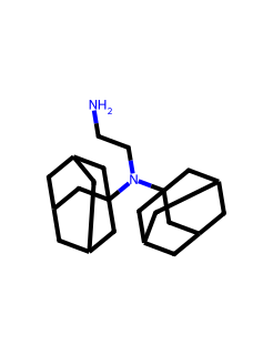 NCCN(C12CC3CC(CC(C3)C1)C2)C12CC3CC(CC(C3)C1)C2